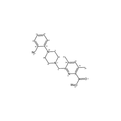 COC(=O)c1nc(CN2CCN(c3ccccc3C#N)CC2)c(C)cc1C